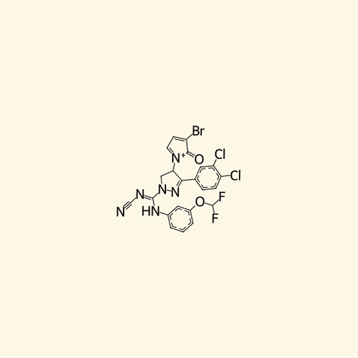 N#C/N=C(\Nc1cccc(OC(F)F)c1)N1CC([N+]2=CC=C(Br)C2=O)C(c2ccc(Cl)c(Cl)c2)=N1